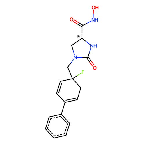 O=C(NO)[C@H]1CN(CC2(F)C=CC(c3ccccc3)=CC2)C(=O)N1